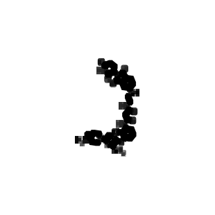 CC1(N)CCN(c2cnc(Sc3cccc(NC(=O)CC(=O)NCCNc4ccc5c(c4)C(=O)N(C4CCC(=O)NC4=O)C5=O)c3Cl)c(N)n2)CC1